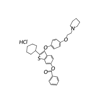 Cl.O=C(Oc1ccc2c(Oc3ccc(OCCN4CCCCC4)cc3)c(C3CCCCC3)sc2c1)c1ccccc1